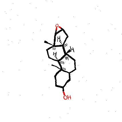 C[C@]12CCC(O)CC1CC[C@@H]1[C@@H]2CC[C@]2(C)C3OC3C[C@@H]12